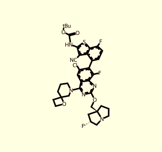 CC(C)(C)OC(=O)Nc1sc2c(F)ccc(-c3c(Cl)cc4c(N5CCCC6(CCO6)C5)nc(OC[C@@]56CCCN5C[C@H](F)C6)nc4c3F)c2c1C#N